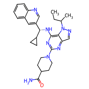 CCC(C)n1ncc2nc(N3CCC(C(N)=O)CC3)nc(N[C@@H](c3cnc4ccccc4c3)C3CC3)c21